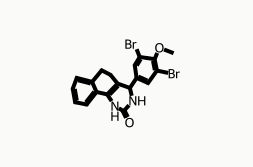 COc1c(Br)cc(C2NC(=O)NC3=C2CCc2ccccc23)cc1Br